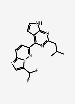 CC(C)Cc1nc(-c2ccc3ncc(C(F)F)n3n2)c2cc[nH]c2n1